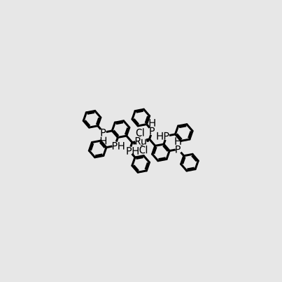 [Cl][Ru]([Cl])(=[C](Pc1ccccc1)c1cccc(Pc2ccccc2)c1Pc1ccccc1)=[C](Pc1ccccc1)c1cccc(Pc2ccccc2)c1Pc1ccccc1